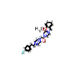 COc1ccccc1CN1CCN(C(=O)CN2CCN(CCc3ccc(F)cc3)CC2)CC1